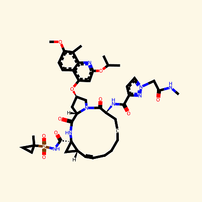 CNC(=O)Cn1ccc(C(=O)N[C@H]2CCCCC/C=C\[C@@H]3C[C@@]3(C(=O)NS(=O)(=O)C3(C)CC3)NC(=O)[C@@H]3C[C@@H](Oc4cc(OC(C)C)nc5c(C)c(OC)ccc45)CN3C2=O)n1